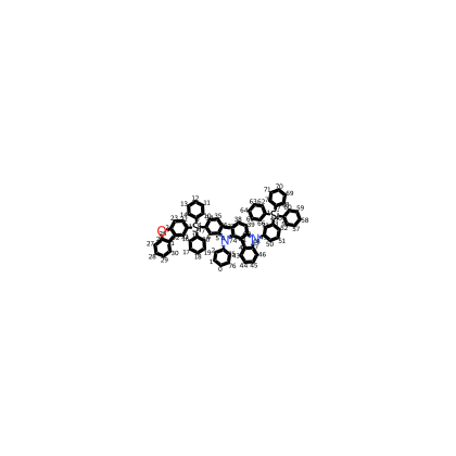 c1ccc(-n2c3cc([Si](c4ccccc4)(c4ccccc4)c4ccc5oc6ccccc6c5c4)ccc3c3ccc4c(c5ccccc5n4-c4cccc([Si](c5ccccc5)(c5ccccc5)c5ccccc5)c4)c32)cc1